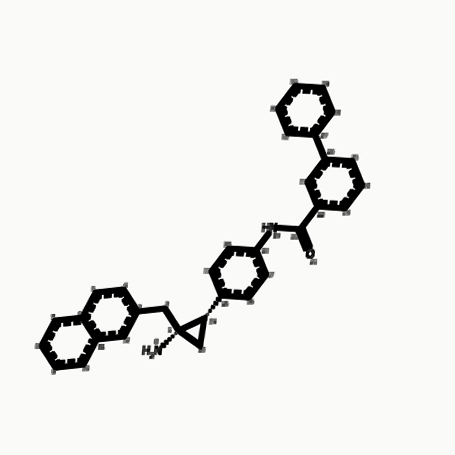 N[C@@]1(Cc2ccc3ccccc3c2)C[C@H]1c1ccc(NC(=O)c2cccc(-c3ccccc3)c2)cc1